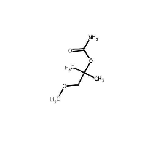 COCC(C)(C)OC(N)=O